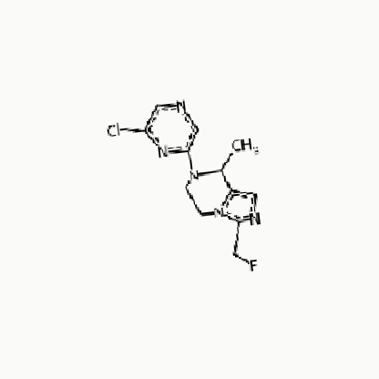 CC1c2cnc(CF)n2CCN1c1cncc(Cl)n1